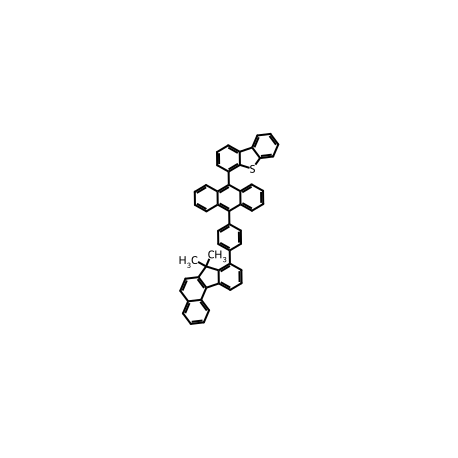 CC1(C)c2ccc3ccccc3c2-c2cccc(-c3ccc(-c4c5ccccc5c(-c5cccc6c5sc5ccccc56)c5ccccc45)cc3)c21